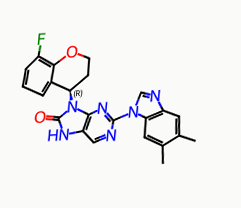 Cc1cc2ncn(-c3ncc4[nH]c(=O)n([C@@H]5CCOc6c(F)cccc65)c4n3)c2cc1C